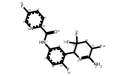 NC1=NC(c2cc(NC(=O)c3ccc(F)cn3)ccc2F)C(F)(F)CC1F